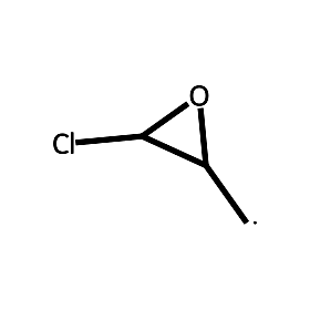 [CH2]C1OC1Cl